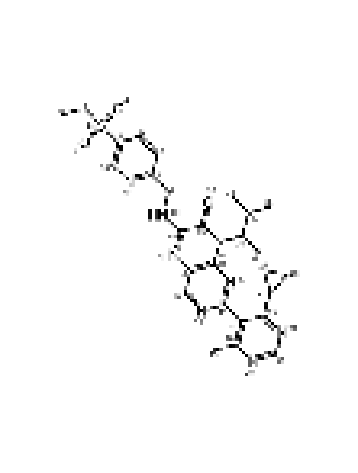 CCS(=O)(=O)c1ccc(CNc2nc3cnc(-c4c(C)ncnc4C4CC4)nc3n([C@H](C)C(C)C)c2=O)nc1